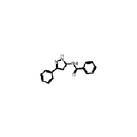 O=C(NC1CC(c2ccccc2)=NN1)c1ccccc1